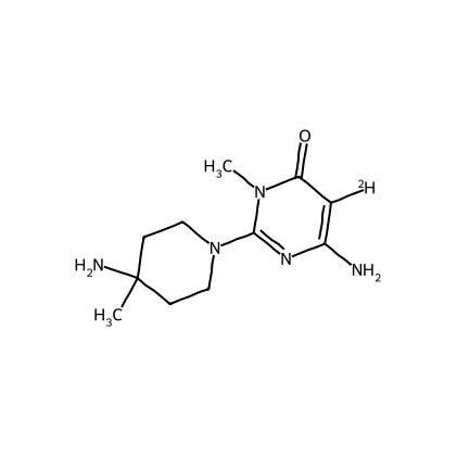 [2H]c1c(N)nc(N2CCC(C)(N)CC2)n(C)c1=O